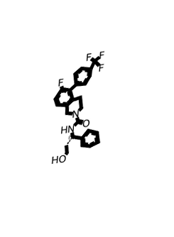 O=C(N[C@@H](CCO)c1ccccc1)N1CCc2c(ccc(F)c2-c2ccc(C(F)(F)F)cc2)C1